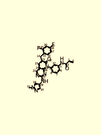 C=CC(=O)Nc1cccc(-n2c(=O)c(Cc3ccc(F)cc3F)cc3cnc(Nc4cnn(C)c4)nc32)c1